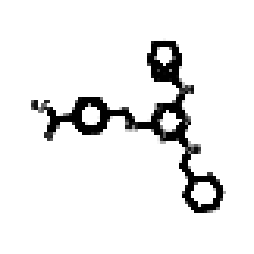 CC(=O)c1ccc(CNc2nc(NCC3CCCCC3)nc(NC3CC4CCC3C4)n2)cc1